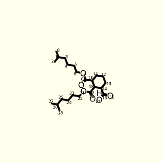 CC(C)CCCCOC(=O)C1CCCC(C(=O)O)C1C(=O)OCCCCC(C)C